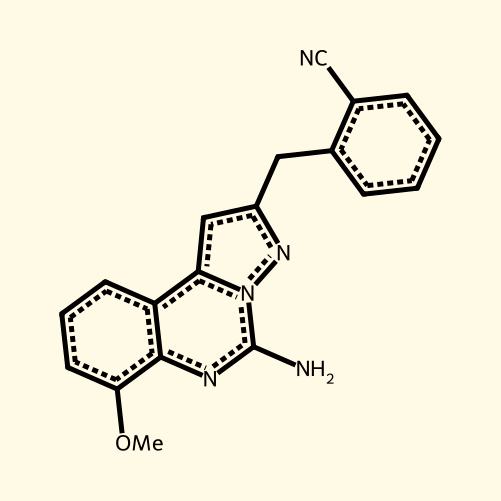 COc1cccc2c1nc(N)n1nc(Cc3ccccc3C#N)cc21